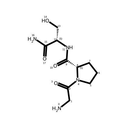 NCC(=O)N1CCC[C@H]1C(=O)N[C@@H](CO)C(N)=O